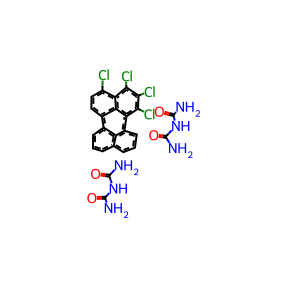 Clc1c(Cl)c2c(Cl)ccc3c4cccc5cccc(c(c1Cl)c23)c54.NC(=O)NC(N)=O.NC(=O)NC(N)=O